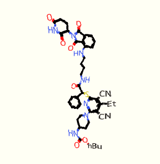 CCCCOC(=O)NC1CCN(c2nc(SC(C(=O)NCCCCNc3cccc4c3C(=O)N(C3CCC(=O)NC3=O)C4=O)c3ccccc3)c(C#N)c(CC)c2C#N)CC1